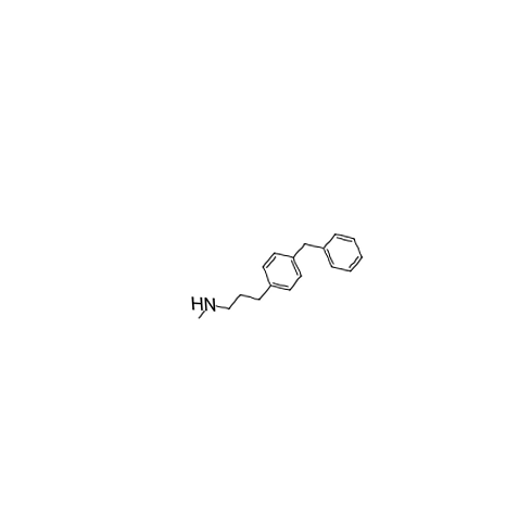 CNCCCc1ccc(Cc2ccccc2)cc1